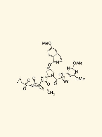 C=C[C@@H]1C[C@]1(NC(=O)[C@@H]1C[C@@H](Oc2nccc3cc(OC)ccc23)CN1C(=O)[C@@H](Nc1nc(OC)nc(OC)n1)C(C)C)C(=O)NS(=O)(=O)C1CC1